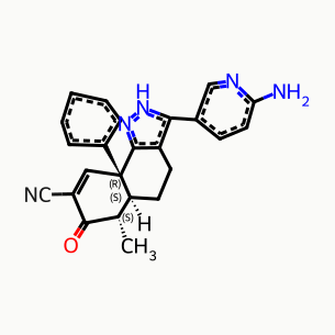 C[C@@H]1C(=O)C(C#N)=C[C@]2(c3ccccc3)c3n[nH]c(-c4ccc(N)nc4)c3CC[C@@H]12